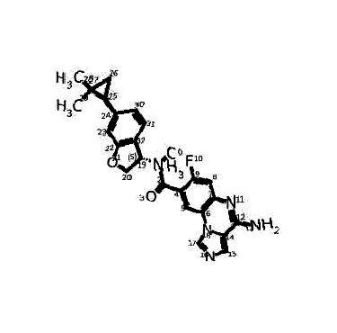 CN(C(=O)c1cc2c(cc1F)nc(N)c1cncn12)[C@@H]1COc2cc(C3CC3(C)C)ccc21